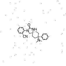 CN(C)[C@]1(c2ccccc2)CC[C@]2(CC1)CN(c1ccccc1C#N)C(=O)N2